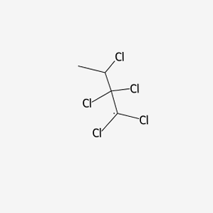 CC(Cl)C(Cl)(Cl)[C](Cl)Cl